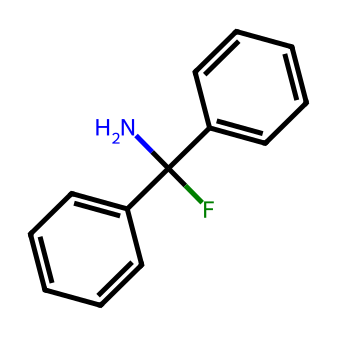 NC(F)(c1ccccc1)c1ccccc1